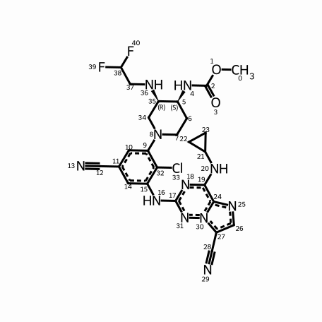 COC(=O)N[C@H]1CCN(c2cc(C#N)cc(Nc3nc(NC4CC4)c4ncc(C#N)n4n3)c2Cl)C[C@H]1NCC(F)F